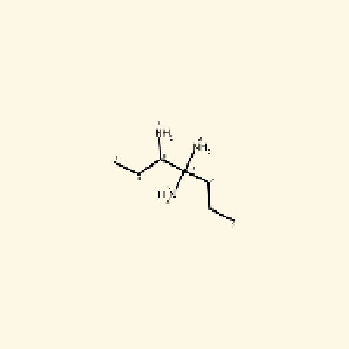 CCCC(N)(N)C(N)CC